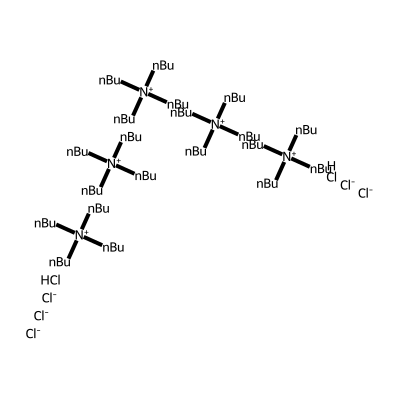 CCCC[N+](CCCC)(CCCC)CCCC.CCCC[N+](CCCC)(CCCC)CCCC.CCCC[N+](CCCC)(CCCC)CCCC.CCCC[N+](CCCC)(CCCC)CCCC.CCCC[N+](CCCC)(CCCC)CCCC.Cl.Cl.[Cl-].[Cl-].[Cl-].[Cl-].[Cl-]